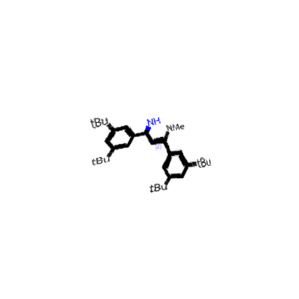 CN/C(=C\C(=N)c1cc(C(C)(C)C)cc(C(C)(C)C)c1)c1cc(C(C)(C)C)cc(C(C)(C)C)c1